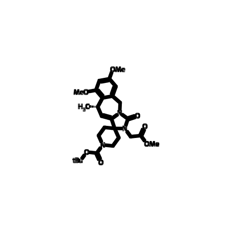 COC(=O)CN1C(=O)N2Cc3cc(OC)cc(OC)c3[C@@H](C)C=C2C12CCN(C(=O)OC(C)(C)C)CC2